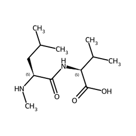 CN[C@@H](CC(C)C)C(=O)N[C@H](C(=O)O)C(C)C